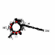 CC(=O)NCCOCCOCCOCCOCCOCCOCCOCCOCCC(=O)N[C@@H](CC(=O)O)C(=O)N[C@H]1CSSC[C@@H](C(=O)N[C@H](C(N)=O)C(C)O)NC(=O)[C@H](Cc2c[nH]c3ccccc23)NC(=O)C(C(C)C)NC(=O)[C@H](CC(C)C)NC(=O)[C@H](CCC(=O)O)NC(=O)CNC(=O)[C@H](CNC(=O)CSC(=O)COCCN)NC(=O)[C@H](Cc2c[nH]cn2)NC(=O)[C@H](Cc2c[nH]c3ccccc23)NC(=O)[C@H](C)NC1=O